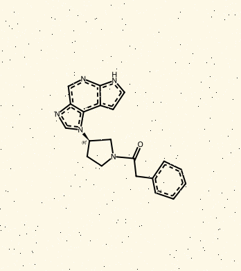 O=C(Cc1ccccc1)N1CC[C@@H](n2cnc3cnc4[nH]ccc4c32)C1